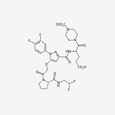 CCOC(=O)N1CCN(C(=O)C(CCC(=O)O)NC(=O)c2cc(OCC(=O)N3CCCC3C(=O)NCC(F)F)n(-c3ccc(F)c(F)c3)n2)CC1